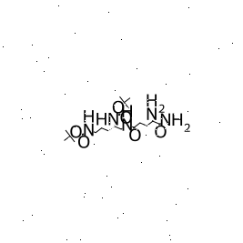 CC(C)(C)OC(=O)NCCC[C@@H](CNC(=O)CC[C@H](N)C(N)=O)NC(=O)OC(C)(C)C